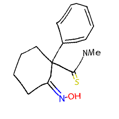 CNC(=S)C1(c2ccccc2)CCCC/C1=N/O